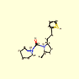 C[C@@H]1CC[C@H](CCc2cccs2)N1C(=O)N1CCCCC1